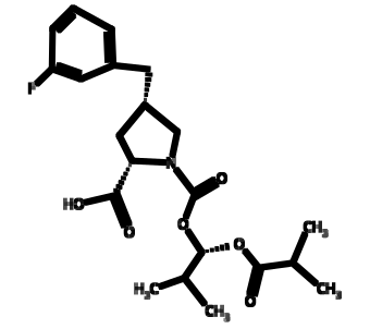 CC(C)C(=O)O[C@@H](OC(=O)N1C[C@@H](Cc2cccc(F)c2)C[C@H]1C(=O)O)C(C)C